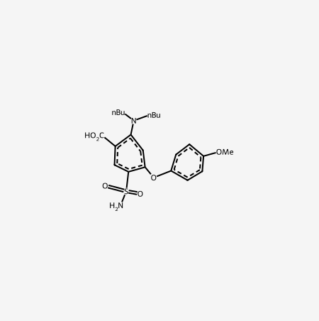 CCCCN(CCCC)c1cc(Oc2ccc(OC)cc2)c(S(N)(=O)=O)cc1C(=O)O